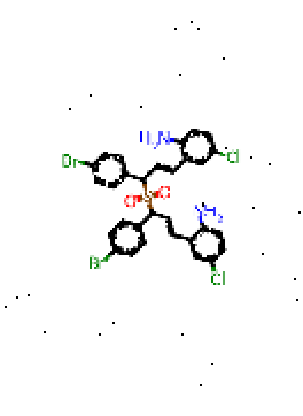 Nc1ccc(Cl)cc1C=CC(c1ccc(Br)cc1)S(=O)(=O)C(C=Cc1cc(Cl)ccc1N)c1ccc(Br)cc1